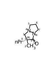 CCC[C@]1(C)CN2CCCN2C1=O